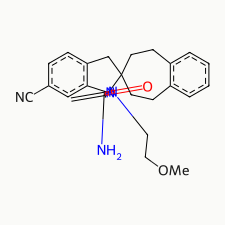 COCCN1C(=O)C2(N=C1N)c1cc(C#N)ccc1CC21CCc2ccccc2CC1